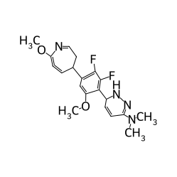 COC1=C=CC(c2cc(OC)c(C3C=CC(N(C)C)=NN3)c(F)c2F)CC=N1